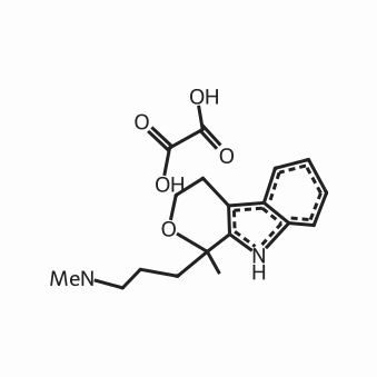 CNCCCC1(C)OCCc2c1[nH]c1ccccc21.O=C(O)C(=O)O